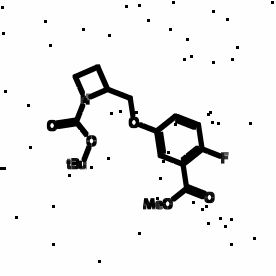 COC(=O)c1cc(OCC2CCN2C(=O)OC(C)(C)C)ccc1F